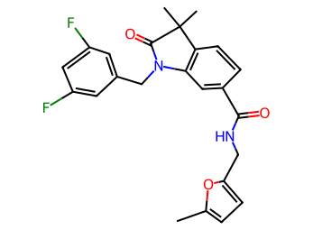 Cc1ccc(CNC(=O)c2ccc3c(c2)N(Cc2cc(F)cc(F)c2)C(=O)C3(C)C)o1